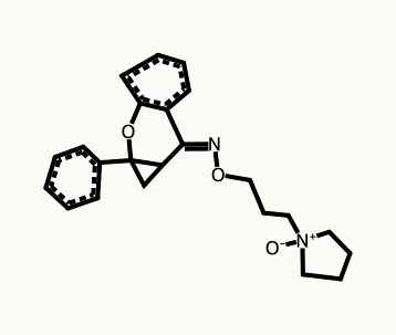 [O-][N+]1(CCCON=C2c3ccccc3OC3(c4ccccc4)CC23)CCCC1